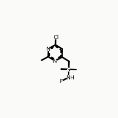 Cc1nc(Cl)cc(CS(C)(C)NF)n1